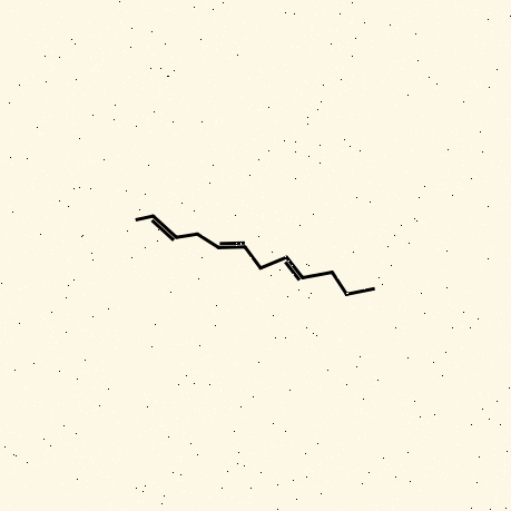 CC=CCC=CCC=CCCC